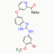 CNC(=O)c1cc(Oc2ccc3[nH]c(Nc4ccc(OC(F)(F)F)c(Br)c4)nc3c2)ccn1